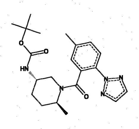 Cc1ccc(-n2nccn2)c(C(=O)N2C[C@@H](NC(=O)OC(C)(C)C)CC[C@@H]2C)c1